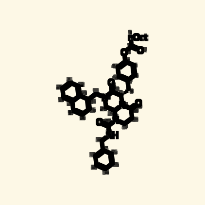 CCCCCCCCC(=O)Oc1ccc(C[C@H]2C(=O)N(Cc3cccc4ccccc34)CC3N(C(=O)NCc4ccccc4)CCC(=O)N32)cc1